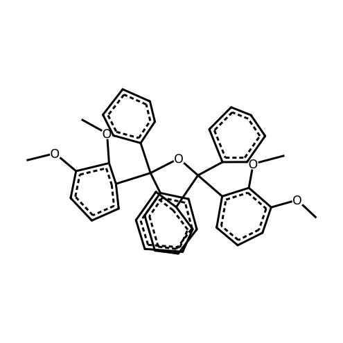 COc1cccc(C(OC(c2ccccc2)(c2ccccc2)c2cccc(OC)c2OC)(c2ccccc2)c2ccccc2)c1OC